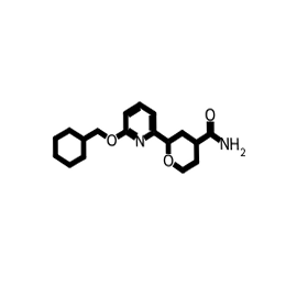 NC(=O)C1CCOC(c2cccc(OCC3CCCCC3)n2)C1